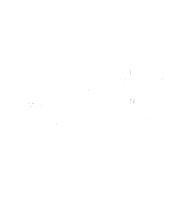 COC(=O)C=CC(=O)OCCN1C(=O)CC(C)(C)C1=O